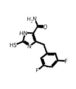 NC(=O)c1[nH]c(S)nc1Cc1cc(F)cc(F)c1